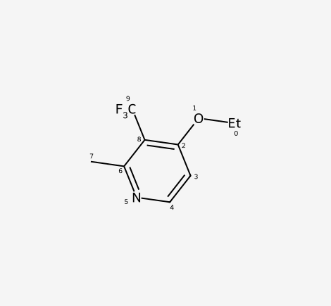 CCOc1ccnc(C)c1C(F)(F)F